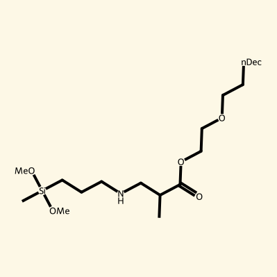 CCCCCCCCCCCCOCCOC(=O)C(C)CNCCC[Si](C)(OC)OC